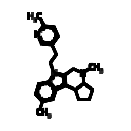 Cc1ccc2c(c1)c1c(n2CCc2ccc(C)nc2)CN(C)C2CCCC12